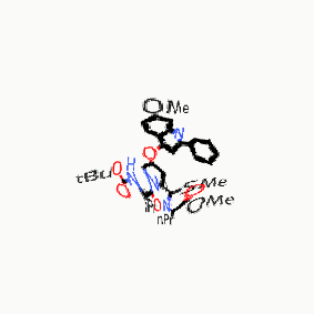 CCCC(/N=C(\SC)[C@@H]1CC(Oc2cc(-c3ccccc3)nc3cc(OC)ccc23)CN1C(=O)[C@@H](NC(=O)OC(C)(C)C)C(C)C)C(=O)OC